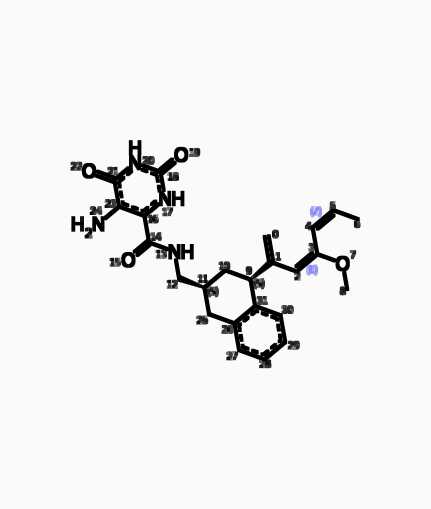 C=C(/C=C(\C=C/C)OC)[C@@H]1C[C@H](CNC(=O)c2[nH]c(=O)[nH]c(=O)c2N)Cc2ccccc21